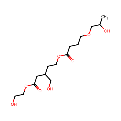 CC(O)COCCCC(=O)OCCC(CO)CC(=O)OCCO